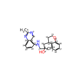 Cc1ncc2c(NCC(O)(CC3CCOc4ccccc43)C(F)(F)F)cccc2n1